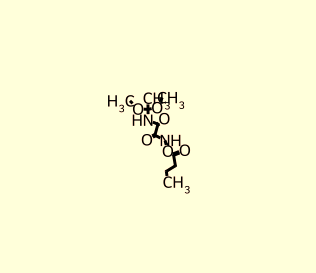 CCCC(=O)ONC(=O)C(=O)NC(C)(OC)OC